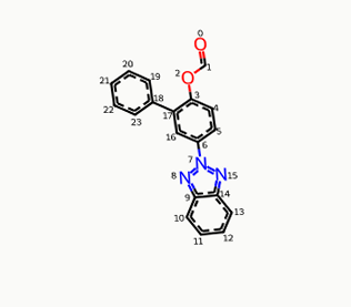 O=COc1ccc(-n2nc3ccccc3n2)cc1-c1ccccc1